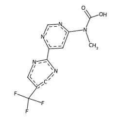 CN(C(=O)O)c1cc(-c2ncc(C(F)(F)F)cn2)ncn1